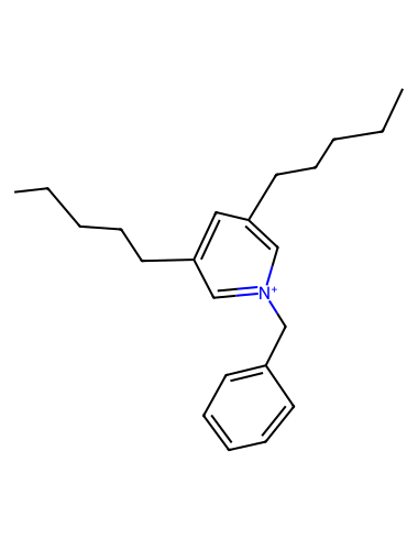 CCCCCc1cc(CCCCC)c[n+](Cc2ccccc2)c1